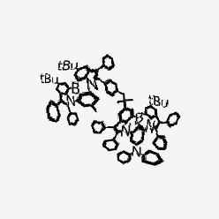 Cc1cc2c3c(c1)-n1c(-c4ccc(CC(C)(C)c5cc6c7c(c5)c(-c5ccccc5)c(-c5ccccc5)n7-c5cc(N(c7ccccc7)c7ccccc7)cc7c5B6c5cc(C(C)(C)C)cc6c(-c8ccccc8)c(-c8ccccc8)n-7c56)cc4)c(-c4ccccc4)c4cc(C(C)(C)C)cc(c41)B3c1cc(C(C)(C)C)cc3c(-c4ccccc4)c(-c4ccccc4)n-2c13